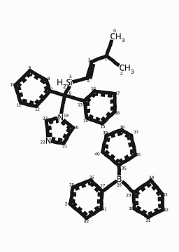 CC(C)C=C[SiH2]C(c1ccccc1)(c1ccccc1)n1ccnc1.c1ccc(B(c2ccccc2)c2ccccc2)cc1